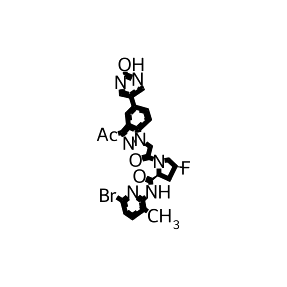 CC(=O)c1nn(CC(=O)N2C[C@H](F)C[C@H]2C(=O)Nc2nc(Br)ccc2C)c2ccc(-c3cnc(O)nc3)cc12